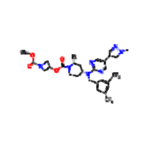 CC[C@@H]1C[C@H](N(Cc2cc(C(F)(F)F)cc(C(F)(F)F)c2)c2ncc(C3C=NN(C)C3)cn2)CCN1C(=O)OC1CN(C(=O)OC(C)(C)C)C1